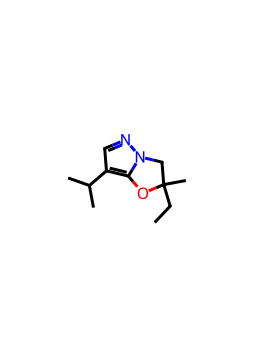 CCC1(C)Cn2ncc(C(C)C)c2O1